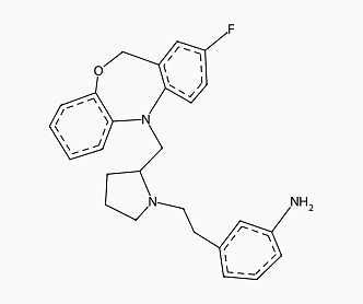 Nc1cccc(CCN2CCCC2CN2c3ccc(F)cc3COc3ccccc32)c1